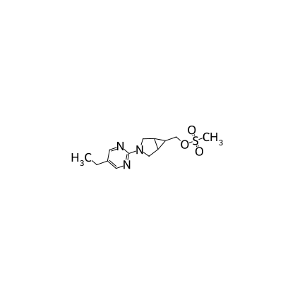 CCc1cnc(N2CC3C(COS(C)(=O)=O)C3C2)nc1